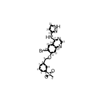 CS(=O)(=O)c1cccc(COc2cc3ncnc(Nc4cc[nH]n4)c3cc2Br)c1